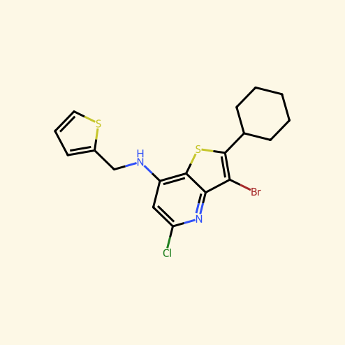 Clc1cc(NCc2cccs2)c2sc(C3CCCCC3)c(Br)c2n1